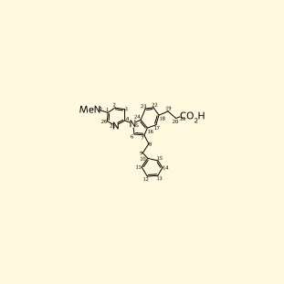 CNc1ccc(-n2cc(CCc3ccccc3)c3cc(CCC(=O)O)ccc32)nc1